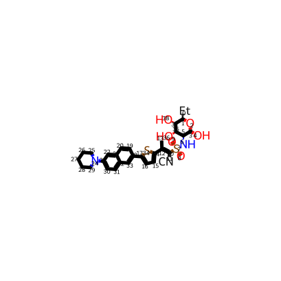 CC[C@H]1OC(O)[C@H](NS(=O)(=O)/C(C#N)=C(\C)c2ccc(-c3ccc4cc(N5CCCCC5)ccc4c3)s2)[C@@H](O)[C@@H]1O